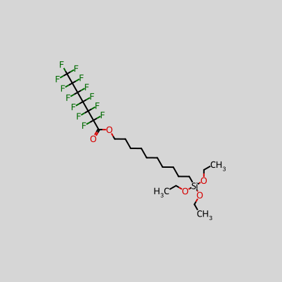 CCO[Si](CCCCCCCCCCOC(=O)C(F)(F)C(F)(F)C(F)(F)C(F)(F)C(F)(F)C(F)(F)F)(OCC)OCC